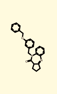 O=C1C2CCCC2=Nc2ccccc2N1Cc1cccc(OCc2ccccc2)c1